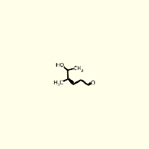 CC(=CCC=O)C(C)O